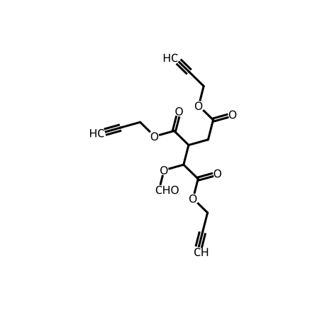 C#CCOC(=O)CC(C(=O)OCC#C)C(OC=O)C(=O)OCC#C